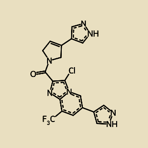 O=C(c1nc2c(C(F)(F)F)cc(-c3cn[nH]c3)cn2c1Cl)N1CC=C(c2cn[nH]c2)C1